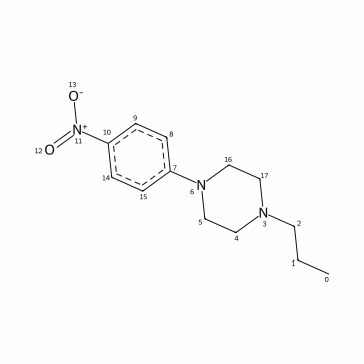 C[CH]CN1CCN(c2ccc([N+](=O)[O-])cc2)CC1